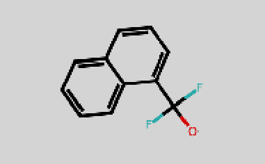 [O]C(F)(F)c1cccc2ccccc12